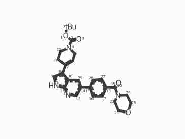 CC(C)(C)OC(=O)N1CC=C(c2c[nH]c3ncc(-c4ccc(C(=O)N5CCOCC5)cc4)cc23)CC1